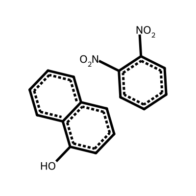 O=[N+]([O-])c1ccccc1[N+](=O)[O-].Oc1cccc2ccccc12